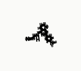 CN(C)c1ccc(-c2cc3ncccc3c(CNCCC#N)n2)cc1